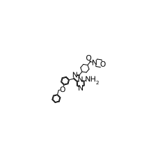 Nc1cncc2c(-c3cccc(OCc4ccccc4)c3)nc(C3CCC(C(=O)N4CCOCC4)CC3)n12